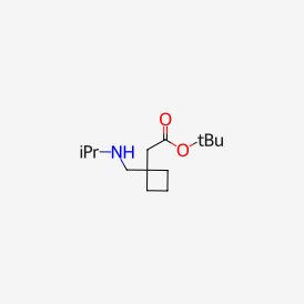 CC(C)NCC1(CC(=O)OC(C)(C)C)CCC1